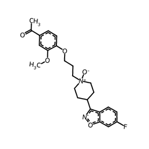 COc1cc(C(C)=O)ccc1OCCC[N+]1([O-])CCC(c2noc3cc(F)ccc23)CC1